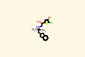 CC(C)(CC1Cc2ccccc2C1)NCC(O)c1cc(Br)c(Cl)s1